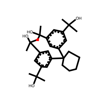 CC(C)(O)c1cc(C(C)(C)O)cc(C2(c3cc(C(C)(C)O)cc(C(C)(C)O)c3)CCCCC2)c1